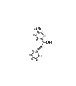 CC(C)(C)c1ccc(C(O)C#Cc2ccccc2)cc1